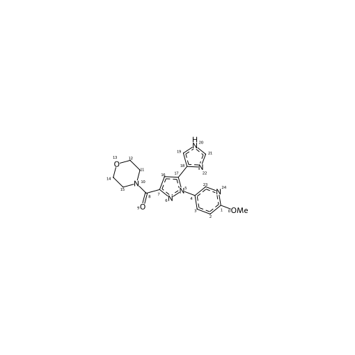 COc1ccc(-n2nc(C(=O)N3CCOCC3)cc2-c2c[nH]cn2)cn1